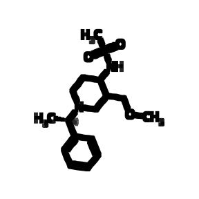 COCC1CN([C@@H](C)c2ccccc2)CCC1NS(C)(=O)=O